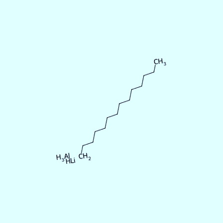 [AlH3].[CH2]CCCCCCCCCCCCC.[LiH]